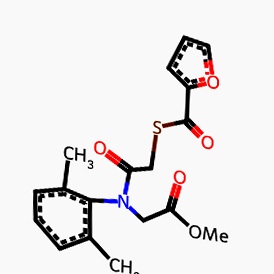 COC(=O)CN(C(=O)CSC(=O)c1ccco1)c1c(C)cccc1C